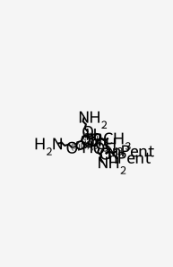 CCCCCN(CCCCC)C(=O)CCC(C)C1CC[C@H]2C3[C@H](OCCCN)CC4C[C@H](OCCCN)CC[C@]4(C)[C@H]3C[C@H](OCCCN)[C@]12C